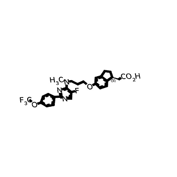 CN(CCCOc1ccc2c(c1)CC[C@H]2CC(=O)O)c1nc(-c2ccc(OC(F)(F)F)cc2)ncc1F